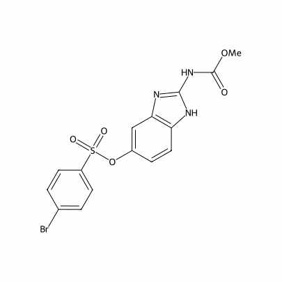 COC(=O)Nc1nc2cc(OS(=O)(=O)c3ccc(Br)cc3)ccc2[nH]1